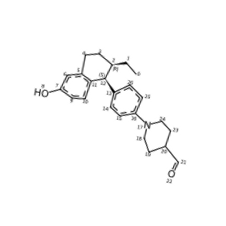 CC[C@@H]1CCc2cc(O)ccc2[C@@H]1c1ccc(N2CCC(C=O)CC2)cc1